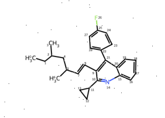 CCC(C)CC(C)/C=C/c1c(C2CC2)nc2ccccc2c1-c1ccc(F)cc1